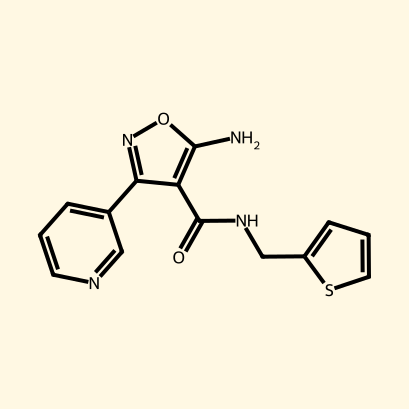 Nc1onc(-c2cccnc2)c1C(=O)NCc1cccs1